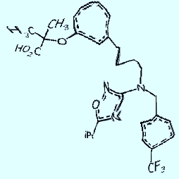 CC(C)c1nc(N(CCCc2cccc(OC(C)(C)C(=O)O)c2)Cc2ccc(C(F)(F)F)cc2)no1